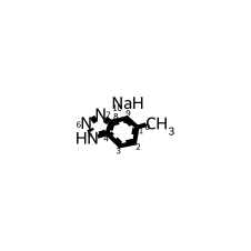 Cc1ccc2[nH]nnc2c1.[NaH]